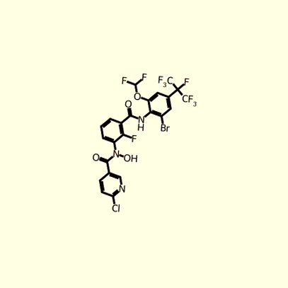 O=C(Nc1c(Br)cc(C(F)(C(F)(F)F)C(F)(F)F)cc1OC(F)F)c1cccc(N(O)C(=O)c2ccc(Cl)nc2)c1F